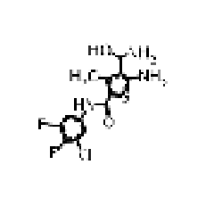 Cc1c(C(=O)Nc2cc(F)c(F)c(Cl)c2)sc(N)c1C(N)O